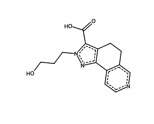 O=C(O)c1c2c(nn1CCCO)-c1ccncc1CC2